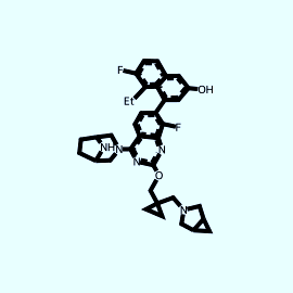 CCc1c(F)ccc2cc(O)cc(-c3ccc4c(N5CC6CCC(C5)N6)nc(OCC5(CN6CC7CC7C6)CC5)nc4c3F)c12